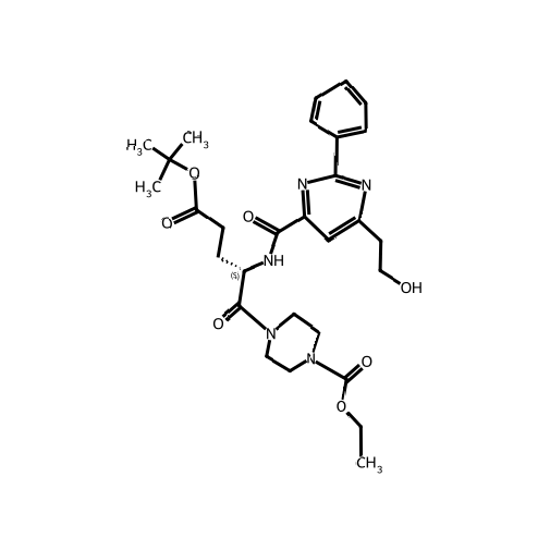 CCOC(=O)N1CCN(C(=O)[C@H](CCC(=O)OC(C)(C)C)NC(=O)c2cc(CCO)nc(-c3ccccc3)n2)CC1